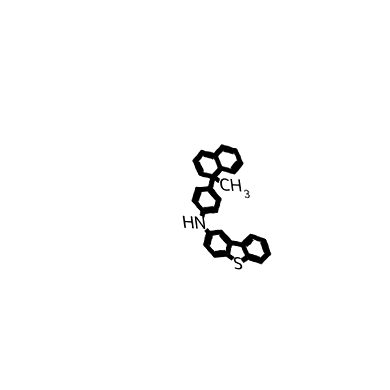 CC1(c2ccc(Nc3ccc4sc5ccccc5c4c3)cc2)C=CC=C2C=CC=CC21